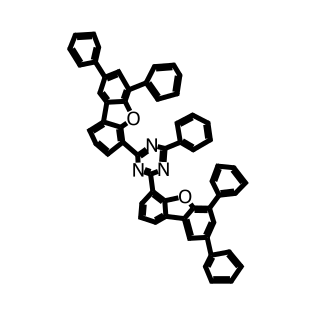 c1ccc(-c2cc(-c3ccccc3)c3oc4c(-c5nc(-c6ccccc6)nc(-c6cccc7c6oc6c(-c8ccccc8)cc(-c8ccccc8)cc67)n5)cccc4c3c2)cc1